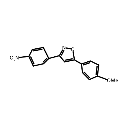 COc1ccc(-c2cc(-c3ccc([N+](=O)[O-])cc3)no2)cc1